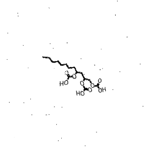 CCCCCCCCC(CC(COC(=O)O)OC(=O)O)OC(=O)O